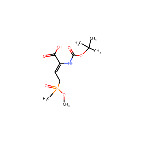 COP(C)(=O)C/C=C(\NC(=O)OC(C)(C)C)C(=O)O